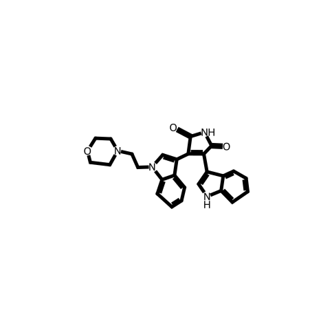 O=C1NC(=O)C(c2cn(CCN3CCOCC3)c3ccccc23)=C1c1c[nH]c2ccccc12